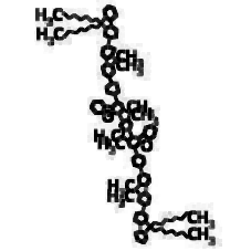 CCCCCCCCC1(CCCCCCCC)c2ccccc2-c2ccc(-c3ccc4c(c3)C(C)(C)c3cc(-c5ccc(-c6cc7c(c8c6oc6ccccc68)-c6cc8c(cc6C7(C)C)-c6c(cc(-c7ccc(-c9ccc%10c(c9)C(C)(C)c9cc(-c%11ccc%12c(c%11)C(CCCCCCCC)(CCCCCCCC)c%11ccccc%11-%12)ccc9-%10)cc7)c7c6oc6ccccc67)C8(C)C)cc5)ccc3-4)cc21